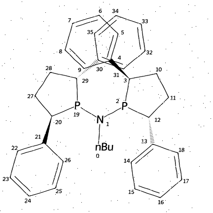 CCCCN(P1[C@@H](c2ccccc2)CC[C@@H]1c1ccccc1)P1[C@@H](c2ccccc2)CC[C@@H]1c1ccccc1